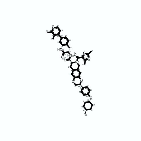 Cc1nc(C(=O)N2Cc3cc4c(cc3C[C@H]2C(=O)N[C@@H](Cc2ccc(-c3ccnc(C)c3C)cc2)C(=O)O)OC[C@H](c2ccc(O[C@H]3CC[C@H](C)CC3)cc2)O4)c(C)o1